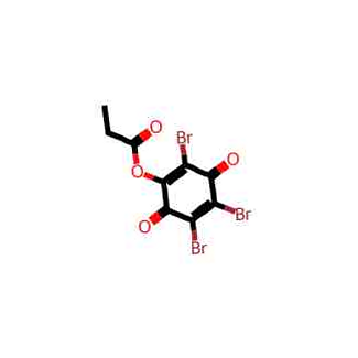 CCC(=O)OC1=C(Br)C(=O)C(Br)=C(Br)C1=O